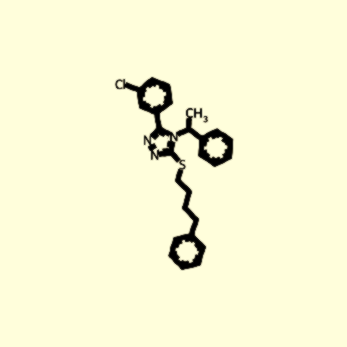 CC(c1ccccc1)n1c(SCCCCc2ccccc2)nnc1-c1cccc(Cl)c1